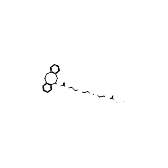 CNC(=O)OCCSSCCOCCNC(=O)OC1Cc2ccccc2CCc2ccccc21